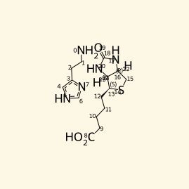 NCCc1c[nH]cn1.O=C(O)CCCC[C@@H]1SC[C@@H]2NC(=O)N[C@@H]21